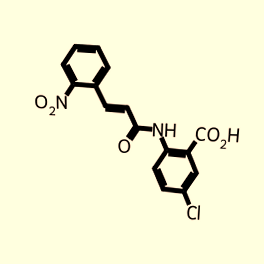 O=C(/C=C/c1ccccc1[N+](=O)[O-])Nc1ccc(Cl)cc1C(=O)O